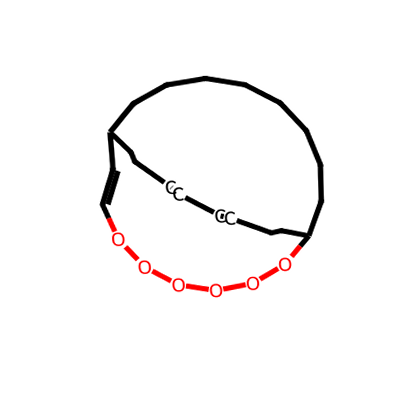 C1=C/C2CCCCCCCCC(CCCCCCCC2)OOOOOO/1